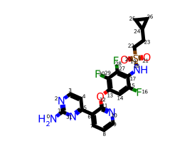 Nc1nccc(-c2cccnc2Oc2cc(F)c(NS(=O)(=O)CCC3CC3)c(F)c2F)n1